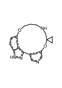 c1cc2[nH]nc3c2cc1OCCCNCC1(CC1)Oc1cncc-3c1